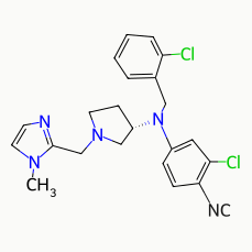 [C-]#[N+]c1ccc(N(Cc2ccccc2Cl)[C@H]2CCN(Cc3nccn3C)C2)cc1Cl